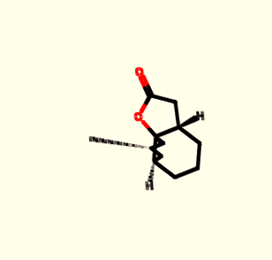 C[C@H]1C[C@H]2CCC[C@H]3CC(=O)O[C@@]23C1